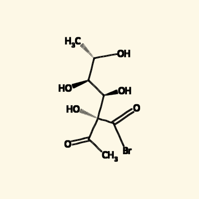 CC(=O)[C@](O)(C(=O)Br)[C@H](O)[C@@H](O)[C@H](C)O